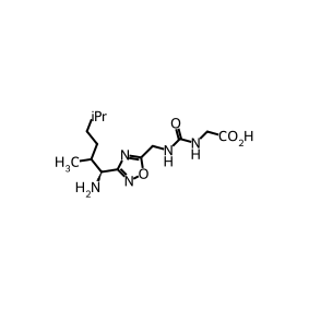 CC(C)CCC(C)[C@H](N)c1noc(CNC(=O)NCC(=O)O)n1